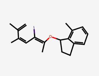 C=C(C)/C(C)=C\C(I)=C(/C)OC1CCc2cccc(C)c21